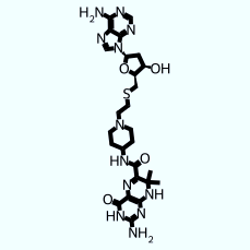 CC1(C)Nc2nc(N)[nH]c(=O)c2N=C1C(=O)NC1CCN(CCSC[C@H]2O[C@@H](n3cnc4c(N)ncnc43)C[C@H]2O)CC1